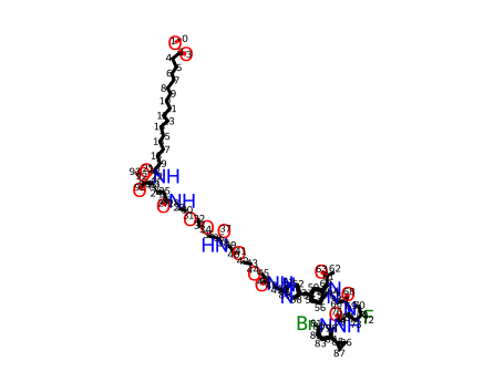 COC(=O)CCCCCCCCCCCCCCCCC(=O)N[C@@H](CCC(=O)NCCOCCOCC(=O)NCCOCCOCC(=O)NCc1ncc(-c2ccc3c(c2)c(C(C)=O)nn3CC(=O)N2C[C@H](F)C[C@H]2C(=O)Nc2nc(Br)ccc2C2CC2)cn1)C(=O)OC